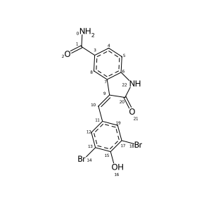 NC(=O)c1ccc2c(c1)C(=Cc1cc(Br)c(O)c(Br)c1)C(=O)N2